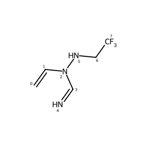 C=CN(C=N)NCC(F)(F)F